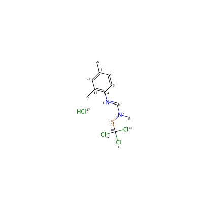 Cc1ccc(N=CN(C)SC(Cl)(Cl)Cl)c(C)c1.Cl